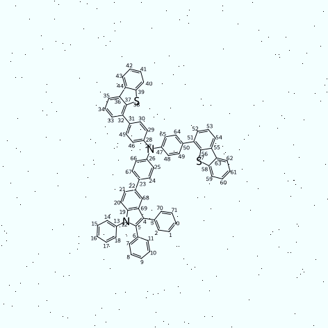 c1ccc(-c2c(-c3ccccc3)n(-c3ccccc3)c3ccc(-c4ccc(N(c5ccc(-c6cccc7c6sc6ccccc67)cc5)c5ccc(-c6cccc7c6sc6ccccc67)cc5)cc4)cc23)cc1